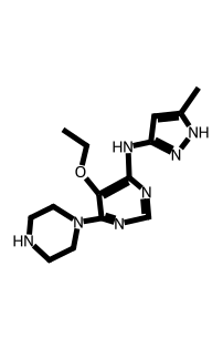 CCOc1c(Nc2cc(C)[nH]n2)ncnc1N1CCNCC1